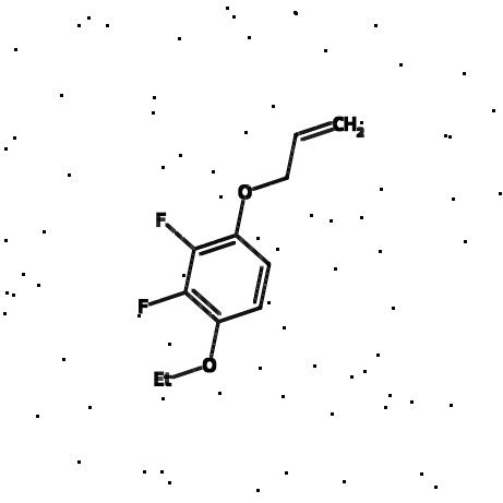 C=CCOc1ccc(OCC)c(F)c1F